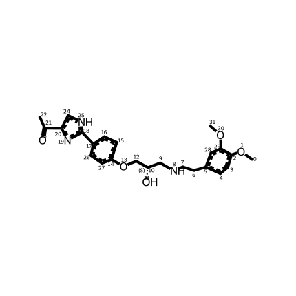 COc1ccc(CCNC[C@H](O)COc2ccc(-c3nc(C(C)=O)c[nH]3)cc2)cc1OC